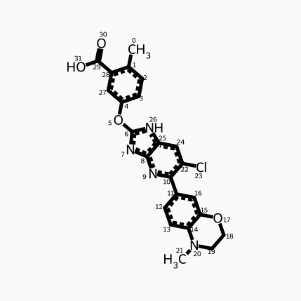 Cc1ccc(Oc2nc3nc(-c4ccc5c(c4)OCCN5C)c(Cl)cc3[nH]2)cc1C(=O)O